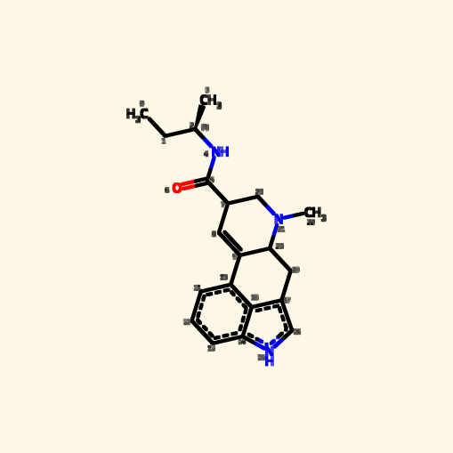 CC[C@@H](C)NC(=O)C1C=C2c3cccc4[nH]cc(c34)CC2N(C)C1